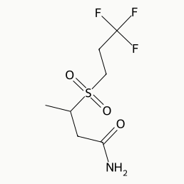 CC(CC(N)=O)S(=O)(=O)CCC(F)(F)F